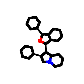 c1ccc(-c2cn3ccccc3c2-c2oc(-c3ccccc3)c3ccccc23)cc1